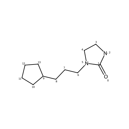 O=C1[N]CCN1CCCC1CCCC1